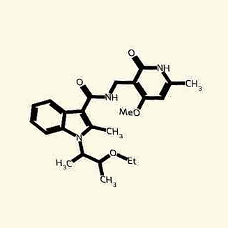 CCOC(C)C(C)n1c(C)c(C(=O)NCc2c(OC)cc(C)[nH]c2=O)c2ccccc21